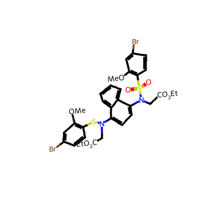 CCOC(=O)CN(Sc1ccc(Br)cc1OC)c1ccc(N(CC(=O)OCC)S(=O)(=O)c2ccc(Br)cc2OC)c2ccccc12